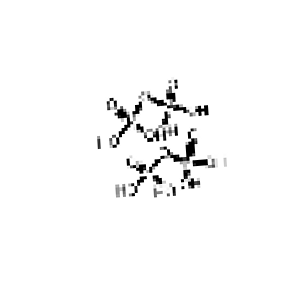 O=P(O)(O)OP(=O)(O)O.O=P(O)(O)OP(=O)(O)O